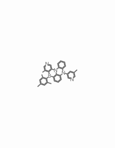 Cc1cncc(N2c3ccccc3N3c4cncc(C)c4B(c4c(C)cc(C)cc4C)c4cccc2c43)c1